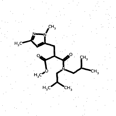 COC(=O)C(Cc1cc(C)nn1C)C(=O)N(CC(C)C)CC(C)C